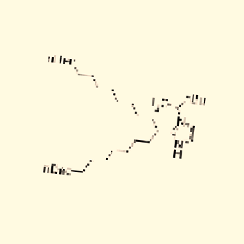 CCCCCCCCCCCCCCCCCCC(CCCCCCCCCCCCCCCCC)c1[nH]cc[n+]1C(C)CCCC